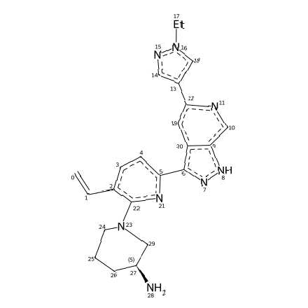 C=Cc1ccc(-c2n[nH]c3cnc(-c4cnn(CC)c4)cc23)nc1N1CCC[C@H](N)C1